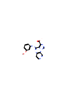 COc1cccc(Nc2nc3ccncc3n3cnc(C(=O)O)c23)c1